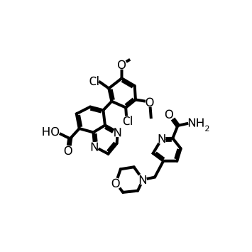 COc1cc(OC)c(Cl)c(-c2ccc(C(=O)O)c3nccnc23)c1Cl.NC(=O)c1ccc(CN2CCOCC2)cn1